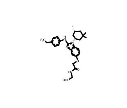 C[C@H]1C[C@@H](n2c(Nc3ccc(CC(F)(F)F)cc3)nc3cc(OCC(=O)NCC=O)ccc32)CC(C)(C)C1